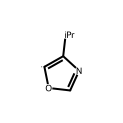 CC(C)c1[c]ocn1